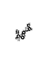 O=c1cc(N2CCOCC2)cc(-c2cccc3c2Oc2ccc(NCc4cncc(N5CCCC5)c4)cc2S3)[nH]1